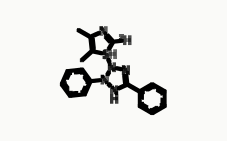 [2H]C1=NC(C)=C(C)[SH]1N1N=C(c2ccccc2)NN1c1ccccc1